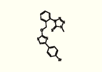 Cn1nnn(-c2ccccc2COc2nc(-c3ccc(Br)cc3)cs2)c1=S